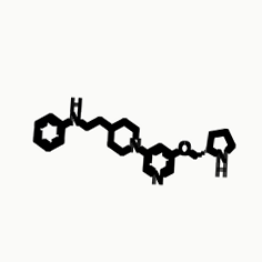 c1ccc(NCCC2CCN(c3cncc(OC[C@@H]4CCCN4)c3)CC2)cc1